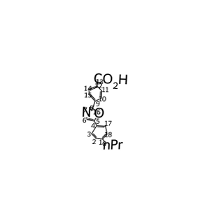 CCCc1ccc(-c2cnc(-c3ccc(C(=O)O)cc3)o2)cc1